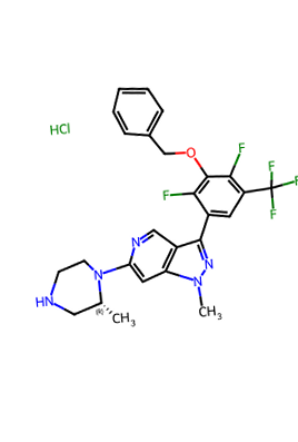 C[C@@H]1CNCCN1c1cc2c(cn1)c(-c1cc(C(F)(F)F)c(F)c(OCc3ccccc3)c1F)nn2C.Cl